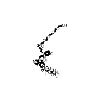 C#CCOCCOCCOCCOCCS(=O)(=O)CCCn1c(CN2c3cnccc3C3(CCN(S(=O)(=O)NC(=O)OC(C)(C)C)CC3)C2O)nc2cc(Cl)ccc21